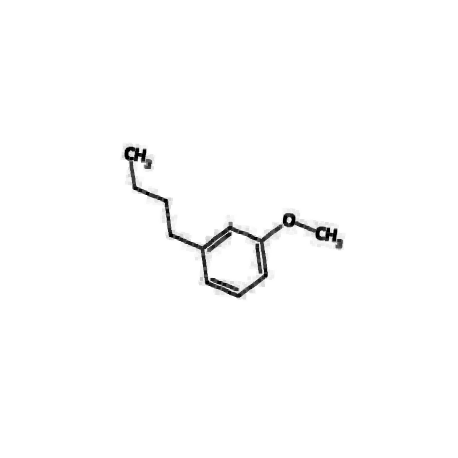 CCCCc1[c]c(OC)ccc1